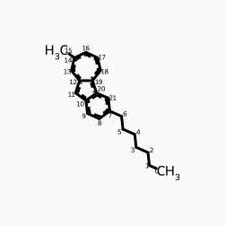 CCCCCCCc1ccc2cc3cc(C)cccc-3c2c1